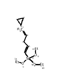 C1CC1.C=CCC=C[Si](OCC)(OCC)OCC